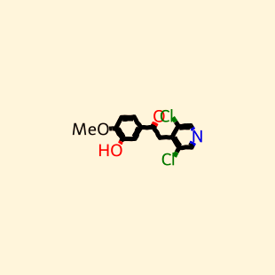 COc1ccc(C(=O)Cc2c(Cl)cncc2Cl)cc1O